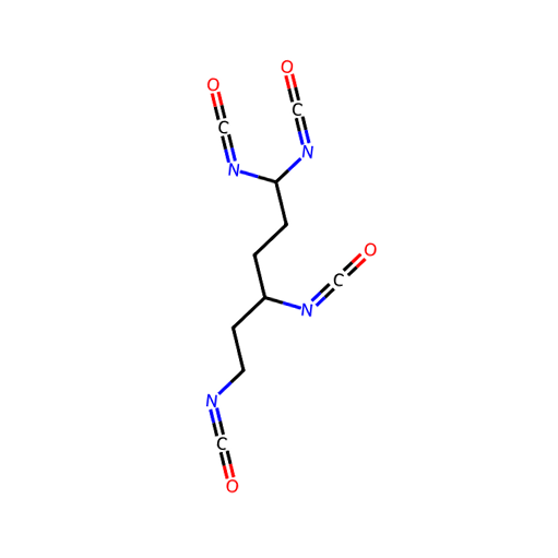 O=C=NCCC(CCC(N=C=O)N=C=O)N=C=O